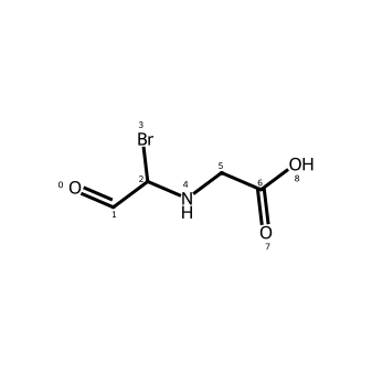 O=CC(Br)NCC(=O)O